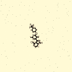 Cc1nc(OC2CCC(C(F)(F)F)CC2)c(F)c(-c2n[nH]c3ccnc(Cl)c23)n1